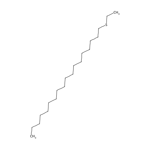 CCCCCCCCCCCCCCCCCCSCC